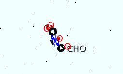 O=COc1cccc(N2CCN(c3ccc4c(c3)OCO4)C2=O)c1